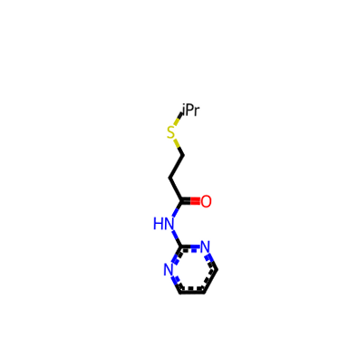 CC(C)SCCC(=O)Nc1ncccn1